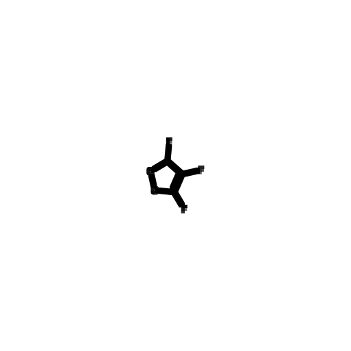 FC1=C(F)C(F)OO1